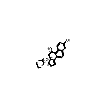 C[C@]12C[C@@H](O)c3c(ccc4cc(O)ccc34)C1=CC[C@@H]2C1COCCO1